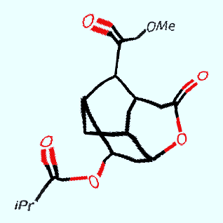 COC(=O)C1C2CC3C(OC(=O)C31)C2OC(=O)C(C)C